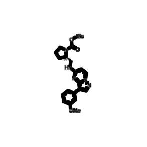 COc1cccc(-c2cnn3ccc(NC[C@@H]4CCCN4C(=O)OC(C)(C)C)nc23)c1